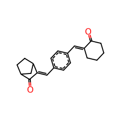 O=C1CCCC/C1=C\c1ccc(/C=C2/C(=O)C3CCC2C3)cc1